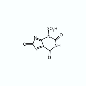 O=C1N=c2c(=O)[nH]c(=O)n(S(=O)(=O)O)c2=N1